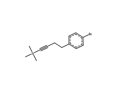 C[Si](C)(C)C#CCCc1ccc(Br)cc1